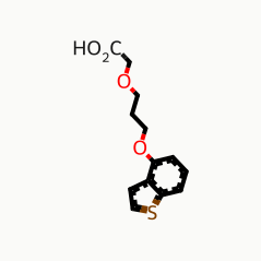 O=C(O)COCCCOc1cccc2sccc12